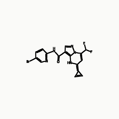 O=C(Nc1ccc(Br)cn1)c1cnn2c1NC(=C1C=C1)C=C2C(F)F